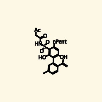 C=C(C)c1ccc(C)cc1-c1c(O)cc(CCCCC)c(S(=O)(=O)NC(=O)CC(C)=O)c1O